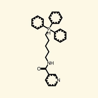 O=C(NCCCCC[PH](c1ccccc1)(c1ccccc1)c1ccccc1)c1cccnc1